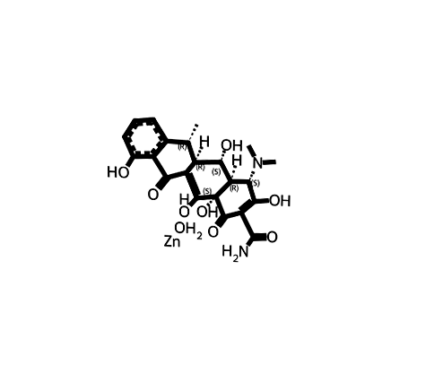 C[C@H]1c2cccc(O)c2C(=O)C2=C(O)[C@]3(O)C(=O)C(C(N)=O)=C(O)[C@@H](N(C)C)[C@@H]3[C@@H](O)[C@@H]21.O.[Zn]